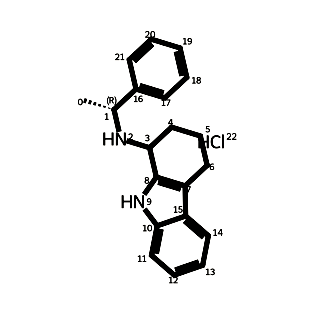 C[C@@H](NC1CCCc2c1[nH]c1ccccc21)c1ccccc1.Cl